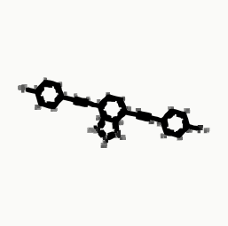 Fc1ccc(C#Cc2ccc(C#Cc3ccc(F)cc3)c3nsnc23)cc1